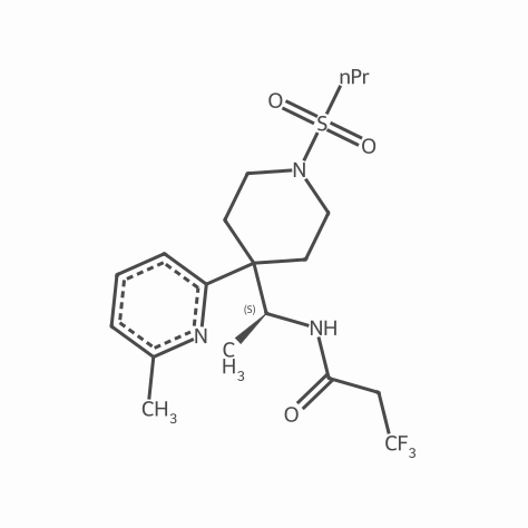 CCCS(=O)(=O)N1CCC(c2cccc(C)n2)([C@H](C)NC(=O)CC(F)(F)F)CC1